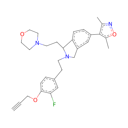 C#CCOc1ccc(CCN2Cc3cc(-c4c(C)noc4C)ccc3C2CCN2CCOCC2)cc1F